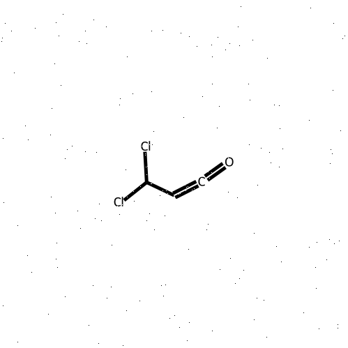 O=C=CC(Cl)Cl